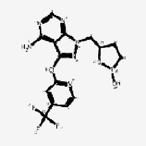 Nc1ncnc2c1c(Oc1cc(C(F)(F)F)ccn1)nn2CC1CCB(O)O1